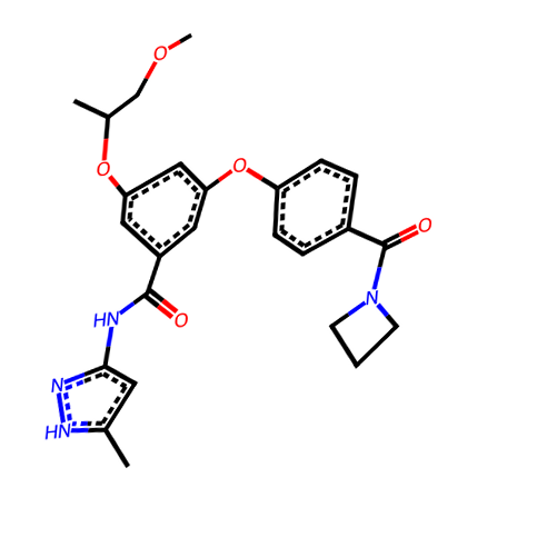 COCC(C)Oc1cc(Oc2ccc(C(=O)N3CCC3)cc2)cc(C(=O)Nc2cc(C)[nH]n2)c1